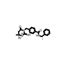 CC(C)[C@]1(C)CC(=O)N(Cc2ccc(C(=O)N[C@@H](C)c3ccccc3)cc2)C(=N)N1